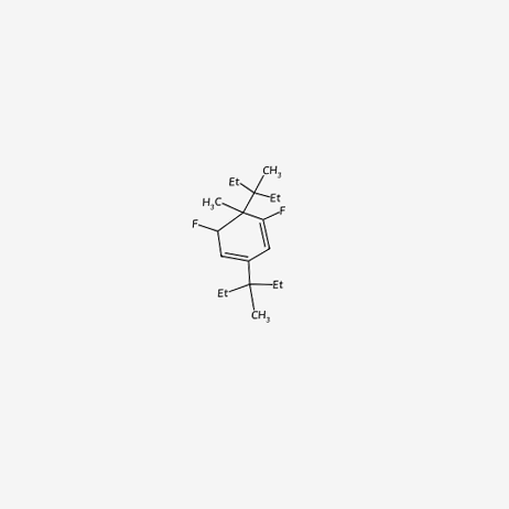 CCC(C)(CC)C1=CC(F)C(C)(C(C)(CC)CC)C(F)=C1